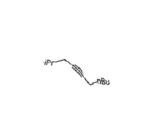 CCCCCC#CC[C](C)C